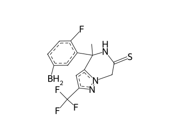 Bc1ccc(F)c(C2(C)NC(=S)Cn3nc(C(F)(F)F)cc32)c1